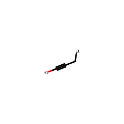 CCCC#C[O]